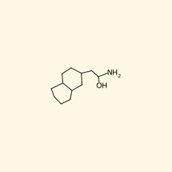 NC(O)CC1CCC2CCCCC2C1